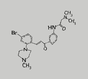 CN(C)CC(=O)Nc1cccc(C(=O)/C=C/c2ccc(Br)cc2N2CCN(C)CC2)c1